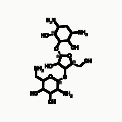 NCC1O[C@H](OC2C(O)[C@H](OC3C(O)C(N)CC(N)[C@H]3O)O[C@@H]2CO)C(N)C(O)C1O